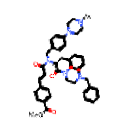 COC(=O)c1ccc(C=CC(=O)N(Cc2ccc(N3CCN(C(C)=O)CC3)cc2)[C@@H](Cc2ccccc2)C(=O)N2CCN(Cc3ccccc3)CC2)cc1